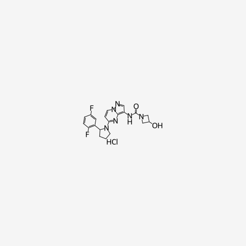 Cl.O=C(Nc1cnn2ccc(N3CCCC3c3cc(F)ccc3F)nc12)N1CC(O)C1